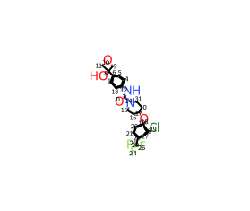 O=C(Nc1ccc(C2(O)COC2)cc1)N1CCC(Oc2ccc(C(F)(F)F)cc2Cl)CC1